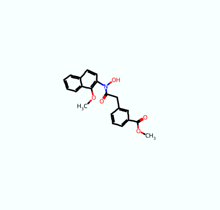 COC(=O)c1cccc(CC(=O)N(O)c2ccc3ccccc3c2OC)c1